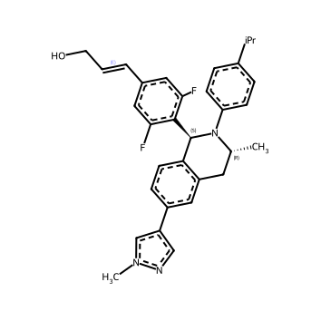 CC(C)c1ccc(N2[C@H](c3c(F)cc(/C=C/CO)cc3F)c3ccc(-c4cnn(C)c4)cc3C[C@H]2C)cc1